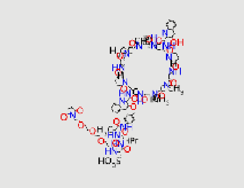 CC(C)[C@H](NC(=O)[C@H](CS(=O)(=O)O)NC(=O)CCOCCOCCOCCN1C(=O)C=CC1=O)C(=O)N[C@@H](C)C(=O)Nc1ccc(COc2cc3ccccc3nc2C(=O)N[C@@H]2CNC(=O)[C@H](C(C)C)N(C)C(=O)CN(C)C(=O)CNC(=O)[C@@H]3CCCCN3C(=O)[C@H](NC(=O)c3nc4ccccc4cc3O)CNC(=O)[C@H](C(C)C)N(C)C(=O)CN(C)C(=O)CNC(=O)[C@@H]3CCCCN3C2=O)cc1